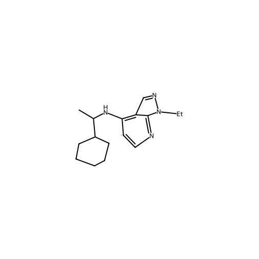 CCn1ncc2c(NC(C)C3CCCCC3)[c]cnc21